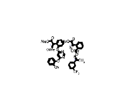 CO/C=C(/C(=O)OC)c1ccccc1Oc1cc(Oc2ccccc2C#N)ncn1.CO/N=C(/C(=O)OC)c1ccccc1CO/N=C(\C)c1cccc(C(F)(F)F)c1